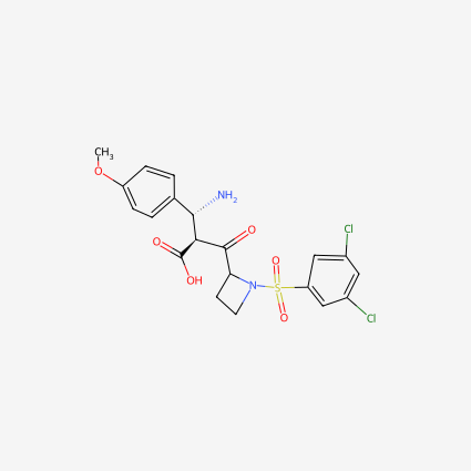 COc1ccc([C@H](N)[C@H](C(=O)O)C(=O)C2CCN2S(=O)(=O)c2cc(Cl)cc(Cl)c2)cc1